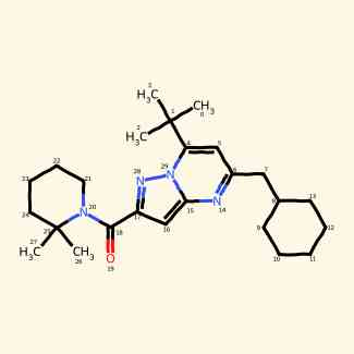 CC(C)(C)c1cc(CC2CCCCC2)nc2cc(C(=O)N3CCCCC3(C)C)nn12